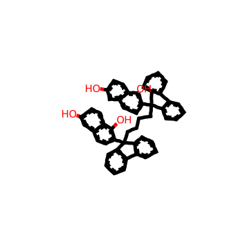 Oc1ccc2c(O)c(C3(CCCCC4(c5ccc6cc(O)ccc6c5O)c5ccccc5-c5ccccc54)c4ccccc4-c4ccccc43)ccc2c1